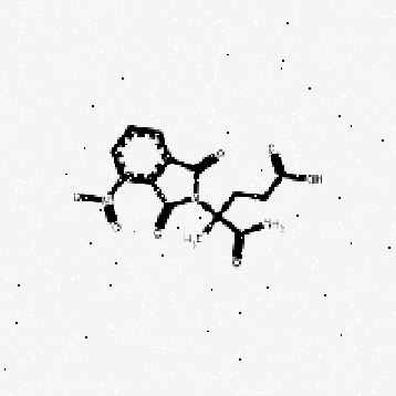 CC(CCC(=O)O)(C(N)=O)N1C(=O)c2cccc([N+](=O)[O-])c2C1=O